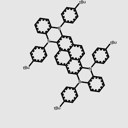 CC(C)(C)c1ccc(B2c3ccccc3N(c3ccc(C(C)(C)C)cc3)c3c2cc2ccc4c5c(cc6ccc3c2c64)B(c2ccc(C(C)(C)C)cc2)c2ccccc2N5c2ccc(C(C)(C)C)cc2)cc1